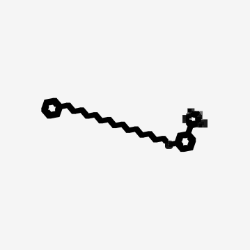 c1ccc(CCCCCCCCCCCCCCCOc2cccc(-c3nnn[nH]3)c2)cc1